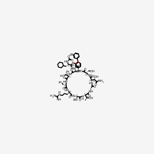 CC[C@H](C)[C@@H]1NC(=O)[C@@H](CCCNC(=N)N)NC(=O)[C@H](CC(C)C)NC(=O)[C@H]([C@H](O)C(C)C)NC(=O)[C@@H](NC(=O)[C@H](Cc2ccccc2)NC(=O)[C@H](CC2CCCCC2)NC(=O)OC(C)(C)C)[C@@H](c2ccccc2)OC(=O)[C@H](CO)NC(=O)[C@H]([C@H](O)C(N)=O)NC(=O)CNC(=O)[C@H]([C@H](C)O)NC1=O